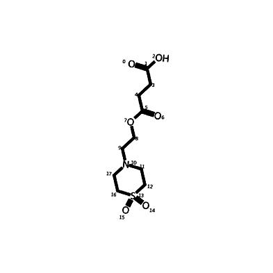 O=C(O)CCC(=O)OCCN1CCS(=O)(=O)CC1